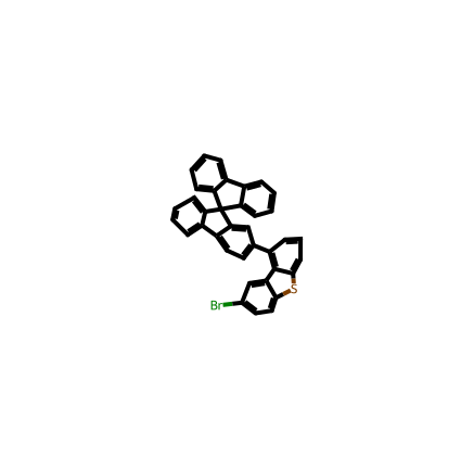 Brc1ccc2sc3cccc(-c4ccc5c(c4)C4(c6ccccc6-c6ccccc64)c4ccccc4-5)c3c2c1